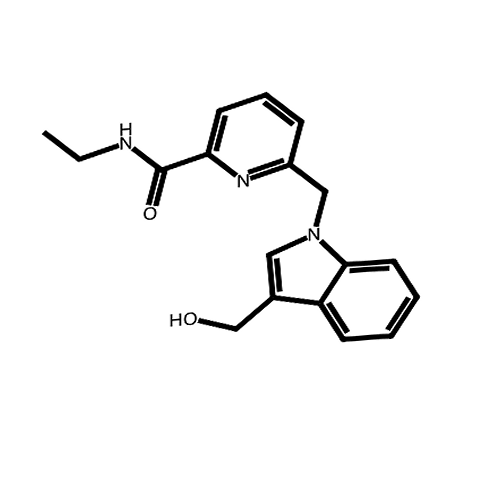 CCNC(=O)c1cccc(Cn2cc(CO)c3ccccc32)n1